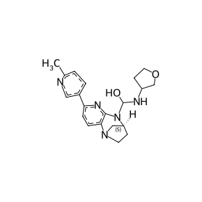 Cc1ccc(-c2ccc3c(n2)N(C(O)NC2CCOC2)[C@H]2CCN3C2)cn1